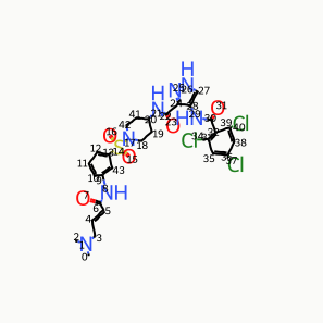 CN(C)CC=CC(=O)Nc1cccc(S(=O)(=O)N2CCC(NC(=O)c3n[nH]cc3NC(=O)c3c(Cl)cc(Cl)cc3Cl)CC2)c1